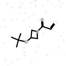 C=CC(=O)N1CC(OC(C)(C)C)C1